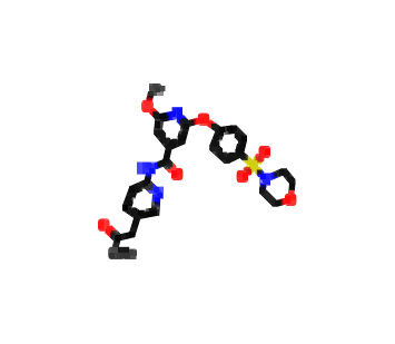 COC(=O)Cc1ccc(NC(=O)c2cc(Oc3ccc(S(=O)(=O)N4CCOCC4)cc3)nc(OC(C)C)c2)nc1